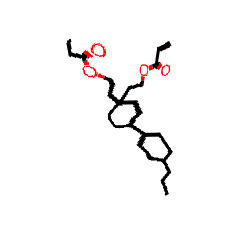 C=CC(=O)OCCC1(CCOC(=O)CC)CCC(C2CCC(CCC)CC2)CC1